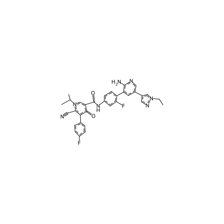 CCn1cc(-c2cnc(N)c(-c3ccc(NC(=O)c4cn(C(C)C)c(C#N)c(-c5ccc(F)cc5)c4=O)cc3F)c2)cn1